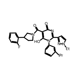 CCn1ccc(-c2nc(=O)c(C(=O)N3CCC(c4ccccc4F)C3)c(O)n2-c2cccc(C(C)C)c2)n1